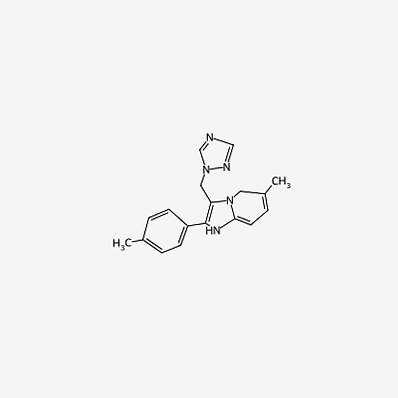 CC1=CC=C2NC(c3ccc(C)cc3)=C(Cn3cncn3)N2C1